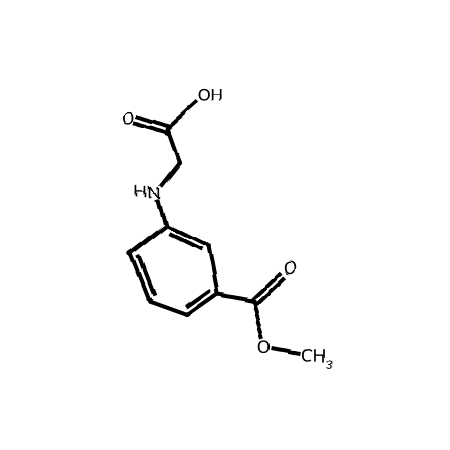 COC(=O)c1cccc(NCC(=O)O)c1